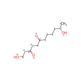 CC(O)CCCCC(=O)CCC(=O)CCO